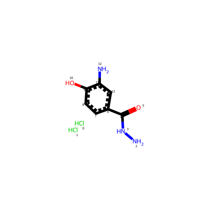 Cl.Cl.NNC(=O)c1ccc(O)c(N)c1